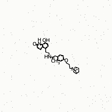 C[C@H](Cc1ccc(OCCC[N+]23CCC(CC2)CC3)cc1)NCCc1ccc(O)c2[nH]c(=O)ccc12